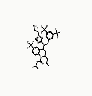 CCCC1CC(N(Cc2cc(C(F)(F)F)cc(C(F)(F)F)c2)c2nnn(CCN)n2)c2cc(C(F)(F)F)ccc2N1C(=O)OC(C)C